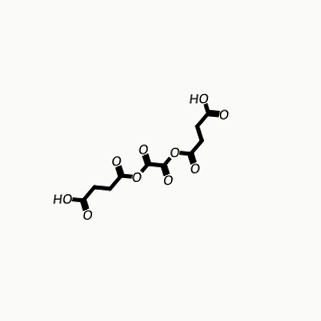 O=C(O)CCC(=O)OC(=O)C(=O)OC(=O)CCC(=O)O